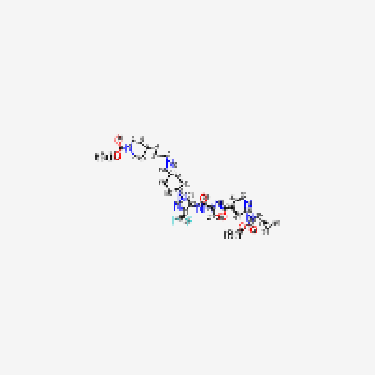 CN(CCCC1CCN(C(=O)OC(C)(C)C)CC1)CC1CCC(n2cc(NC(=O)c3coc(-c4ccnc(N(CC5CC5)C(=O)OC(C)(C)C)c4)n3)c(C(F)F)n2)CC1